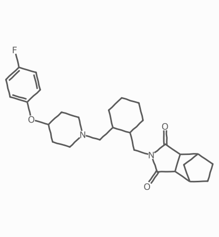 O=C1C2C3CCC(C3)C2C(=O)N1CC1CCCCC1CN1CCC(Oc2ccc(F)cc2)CC1